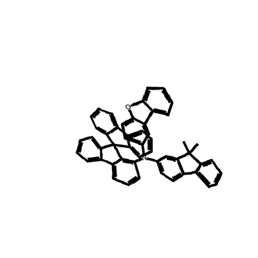 CC1(C)c2ccccc2-c2ccc(N(c3ccc4oc5ccccc5c4c3)c3cccc4c3C3(c5ccccc5-c5ccccc53)c3ccccc3-4)cc21